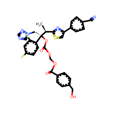 C[C@@H](c1nc(-c2ccc(C#N)cc2)cs1)[C@@](Cn1cncn1)(OC(=O)OCOC(=O)c1ccc(CO)cc1)c1ccc(F)cc1F